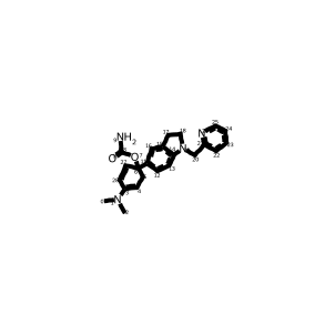 CN(C)C1=CCC(OC(N)=O)(c2ccc3c(c2)CCN3Cc2ccccn2)C=C1